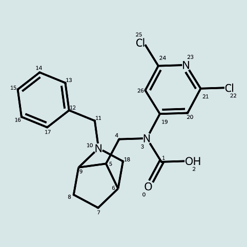 O=C(O)N(CC1C2CCC1N(Cc1ccccc1)C2)c1cc(Cl)nc(Cl)c1